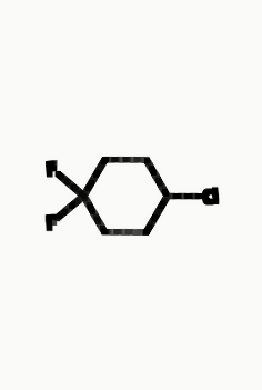 FC1(F)CCC(Cl)CC1